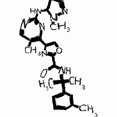 Cc1cccc(C(C)(C)NC(=O)c2nc(-c3nc(Nc4ccnn4C)ncc3C)co2)c1